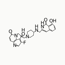 O=c1[nH]c(CNC2CCN(C[C@]3(O)Cn4c(=O)ccc5ncc(F)c3c54)CC2)cc2cccc(O)c12